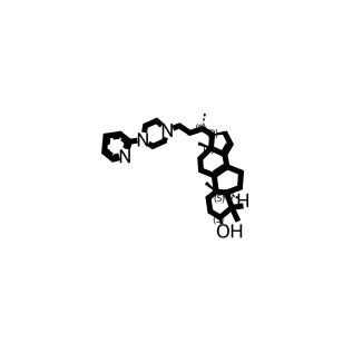 C[C@@H](CCN1CCN(c2ccccn2)CC1)[C@H]1CC=C2C3=C(CC[C@@]21C)[C@@]1(C)CC[C@H](O)C(C)(C)[C@@H]1CC3